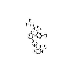 Cc1nccnc1N1CCC(c2nnc3n2-c2ccc(Cl)cc2CN(C2(C)CC(F)(F)C2)C3)CC1